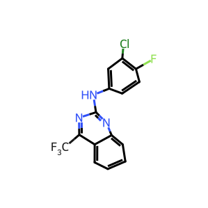 Fc1ccc(Nc2nc(C(F)(F)F)c3ccccc3n2)cc1Cl